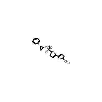 Cc1ncc(C2=CCC(S(=O)(=O)N[C@H]3C[C@@H]3c3ccccc3)S2)s1